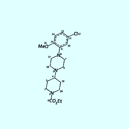 CCOC(=O)N1CCC(N2CCN(c3cc(Cl)ccc3OC)CC2)CC1